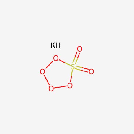 O=S1(=O)OOOO1.[KH]